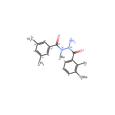 CCc1c(OC)cccc1C(=O)N(N)N(C(=O)c1cc(C)cc(C)c1)C(C)(C)C